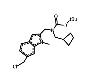 Cn1c(CN(CC2CCC2)C(=O)OC(C)(C)C)cc2ccc(CCl)cc21